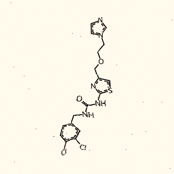 O=C(NCc1ccc(Cl)c(Cl)c1)Nc1nc(COCCn2ccnc2)cs1